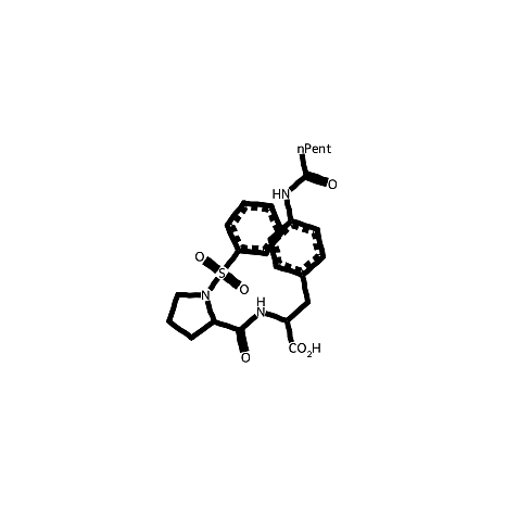 CCCCCC(=O)Nc1ccc(CC(NC(=O)C2CCCN2S(=O)(=O)c2ccccc2)C(=O)O)cc1